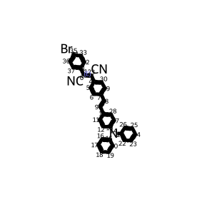 N#C/C(=C(/C#N)c1ccc(C=Cc2ccc(N(c3ccccc3)c3ccccc3)cc2)cc1)c1ccc(Br)cc1